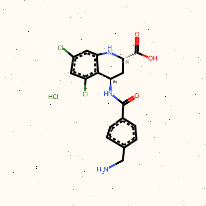 Cl.NCc1ccc(C(=O)N[C@@H]2C[C@@H](C(=O)O)Nc3cc(Cl)cc(Cl)c32)cc1